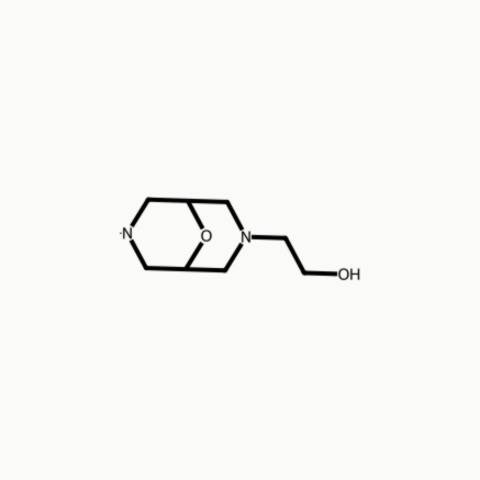 OCCN1CC2C[N]CC(C1)O2